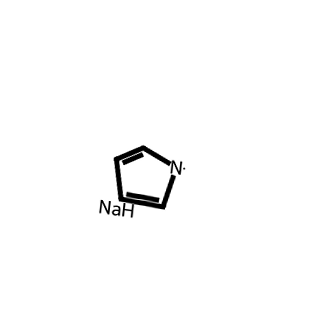 C1=C[N]C=C1.[NaH]